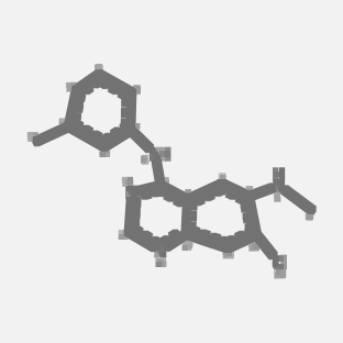 CNc1cc2c(Nc3cccc(C)c3)ncnc2cc1Cl